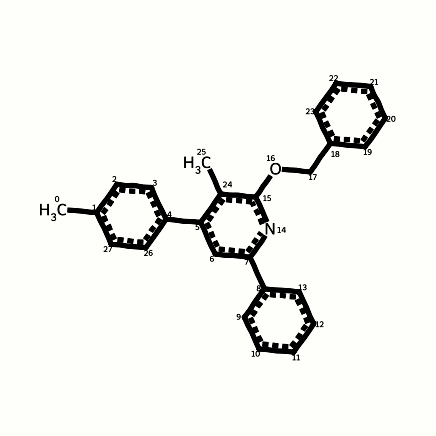 Cc1ccc(-c2cc(-c3ccccc3)nc(OCc3ccccc3)c2C)cc1